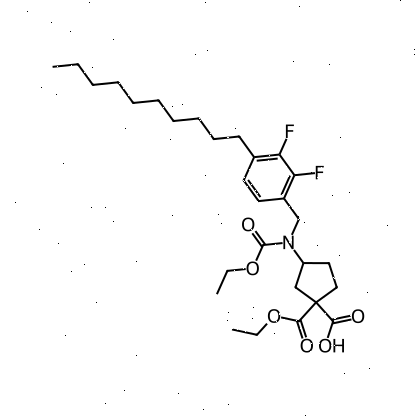 CCCCCCCCCCc1ccc(CN(C(=O)OCC)C2CCC(C(=O)O)(C(=O)OCC)C2)c(F)c1F